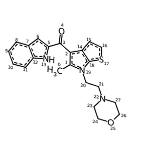 Cc1c(C(=O)c2cc3ccccc3[nH]2)c2ccsc2n1CCN1CCOCC1